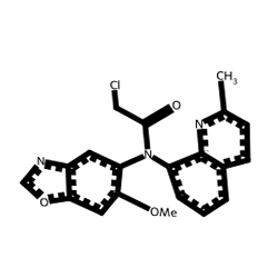 COc1cc2ocnc2cc1N(C(=O)CCl)c1cccc2ccc(C)nc12